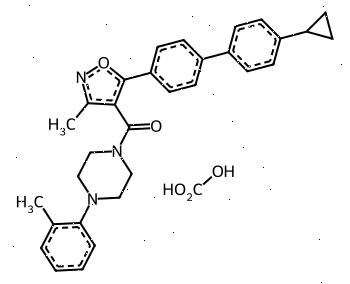 Cc1ccccc1N1CCN(C(=O)c2c(C)noc2-c2ccc(-c3ccc(C4CC4)cc3)cc2)CC1.O=C(O)O